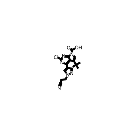 CC(C)(C)c1cn(C(=O)O)c2nc(Cl)nc(-c3cnn(CCC#N)c3)c12